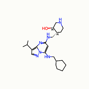 CC(C)c1cnn2c(NCC3CCCCC3)cc(NC[C@H]3CCNC[C@@H]3O)nc12